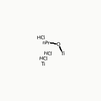 CCC[O][Ti].Cl.Cl.Cl.[Ti]